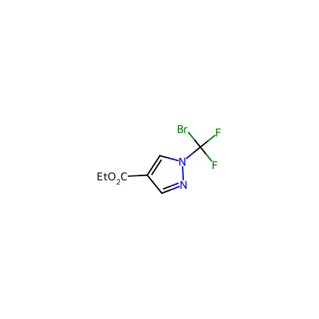 CCOC(=O)c1cnn(C(F)(F)Br)c1